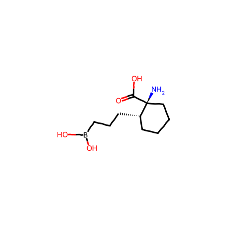 N[C@@]1(C(=O)O)CCCC[C@@H]1CCCB(O)O